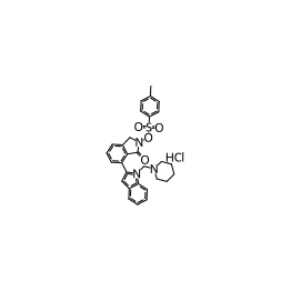 Cc1ccc(S(=O)(=O)ON2Cc3cccc(-c4cc5ccccc5n4CN4CCCCC4)c3C2=O)cc1.Cl